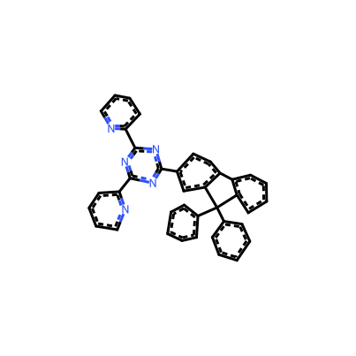 c1ccc(C2(c3ccccc3)c3ccccc3-c3ccc(-c4nc(-c5ccccn5)nc(-c5ccccn5)n4)cc32)cc1